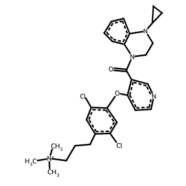 C[N+](C)(C)CCCc1cc(Cl)c(Oc2ccncc2C(=O)N2CCN(C3CC3)c3ccccc32)cc1Cl